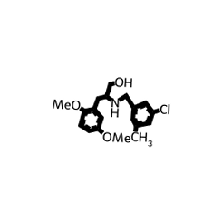 COc1ccc(OC)c(CC(CO)NCc2cc(C)cc(Cl)c2)c1